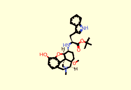 CO[C@@]12CC[C@H](N[C@@H](Cc3c[nH]c4ccccc34)C(=O)OC(C)(C)C)[C@@H]3Oc4c(O)ccc5c4[C@@]31CCN(C)[C@@H]2C5